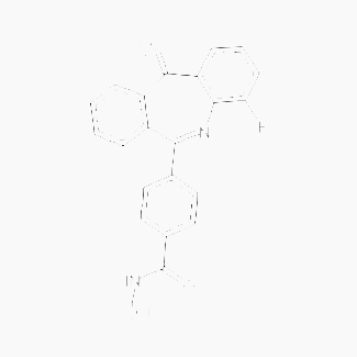 C=C1c2ccccc2C(c2ccc(C(=O)NO)cc2)=Nc2c(F)cccc21